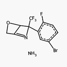 Fc1ccc(Br)cc1C1(C(F)(F)F)N=C2COC21.N